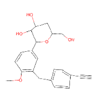 C#Cc1ccc(Cc2cc(C3OC(CO)CC(O)C3O)ccc2OC)cc1